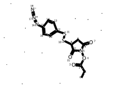 CCC(=O)ON1C(=O)CC(SSc2ccc(N=[N+]=[N-])cc2)C1=O